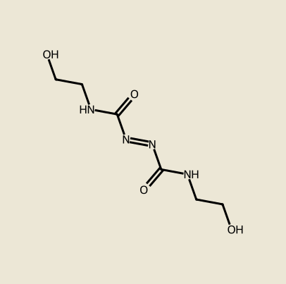 O=C(N=NC(=O)NCCO)NCCO